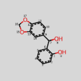 Oc1ccccc1C(O)c1ccc2c(c1)OCO2